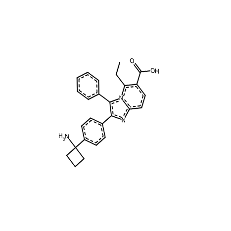 CCc1c(C(=O)O)ccc2nc(-c3ccc(C4(N)CCC4)cc3)c(-c3ccccc3)n12